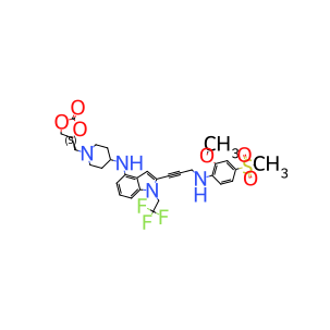 COc1cc(S(C)(=O)=O)ccc1NCC#Cc1cc2c(NC3CCN(C[C@H]4COC(=O)O4)CC3)cccc2n1CC(F)(F)F